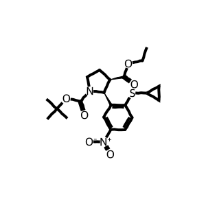 CCOC(=O)[C@@H]1CCN(C(=O)OC(C)(C)C)[C@@H]1c1cc([N+](=O)[O-])ccc1SC1CC1